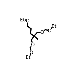 CCOCCCC(C)(COCOCC)COCOCC